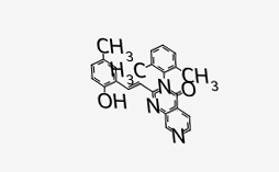 Cc1ccc(O)c(/C=C/c2nc3cnccc3c(=O)n2-c2c(C)cccc2C)c1